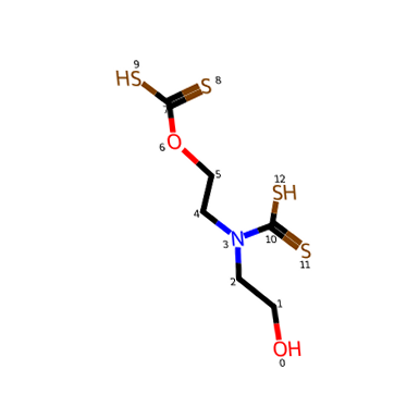 OCCN(CCOC(=S)S)C(=S)S